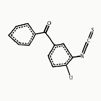 O=C(c1ccccc1)c1ccc(Cl)c(N=C=S)c1